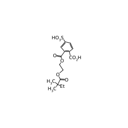 CCC(C)(C)C(=O)OCCOC(=O)c1cc(S(=O)(=O)O)ccc1C(=O)O